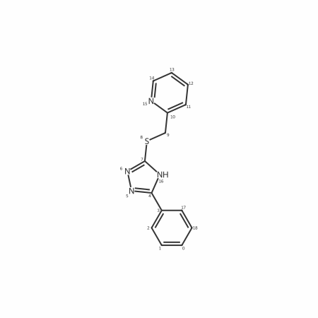 c1ccc(-c2nnc(SCc3ccccn3)[nH]2)cc1